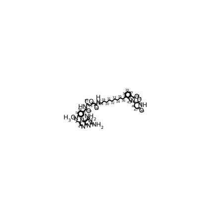 CN(Cc1cnc2nc(N)nc(N)c2n1)c1ccc(C(=O)NC(CCC(=O)NCCCCCCCCCc2cccc3c2CN(C2CCC(=O)NC2=O)C3=O)C(=O)O)cc1